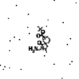 CC1CC2(CCCN(C(=O)OC(C)(C)C)C2)C(=O)N1CN